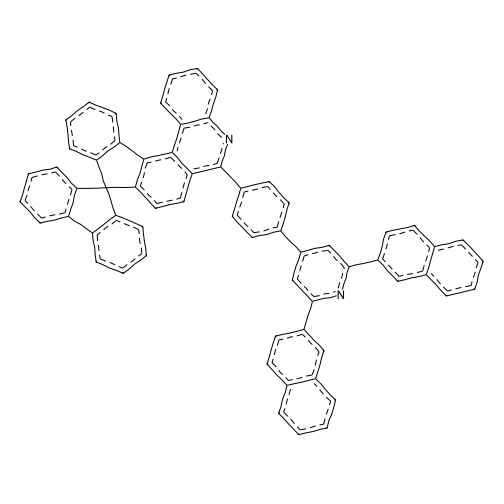 c1ccc2c(c1)-c1ccccc1C21c2ccccc2-c2c1ccc1c(-c3ccc(-c4cc(-c5ccc6ccccc6c5)nc(-c5ccc6ccccc6c5)c4)cc3)nc3ccccc3c21